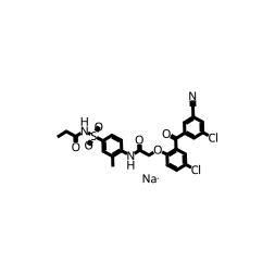 CCC(=O)NS(=O)(=O)c1ccc(NC(=O)COc2ccc(Cl)cc2C(=O)c2cc(Cl)cc(C#N)c2)c(C)c1.[Na]